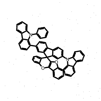 c1ccc(-n2c3ccccc3c3cccc(-c4ccc5c(c4)C4(c6ccccc6Oc6c4oc4ccccc64)c4cc(-n6c7ccccc7c7ccccc76)ccc4-5)c32)cc1